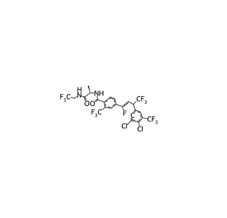 C[C@@H](NC(=O)c1ccc(/C(F)=C/C(c2cc(Cl)c(Cl)c(C(F)(F)F)c2)C(F)(F)F)cc1C(F)(F)F)C(=O)NCC(F)(F)F